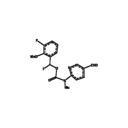 COc1c(F)cccc1C(F)OC(=O)N(c1ccc(C=O)cn1)C(C)(C)C